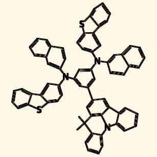 CC1(C)c2ccccc2-n2c3ccccc3c3cc(-c4cc(N(c5ccc6ccccc6c5)c5ccc6sc7ccccc7c6c5)cc(N(c5ccc6ccccc6c5)c5ccc6sc7ccccc7c6c5)c4)cc1c32